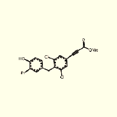 COC(=O)C#Cc1cc(Cl)c(Cc2ccc(O)c(C(C)C)c2)c(Cl)c1